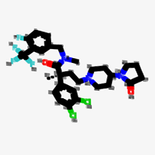 CN(Cc1ccc(F)c(C(F)(F)F)c1)C(=O)[C@@](C)(CCN1CCC(N2CCCC2=O)CC1)c1ccc(Cl)c(Cl)c1